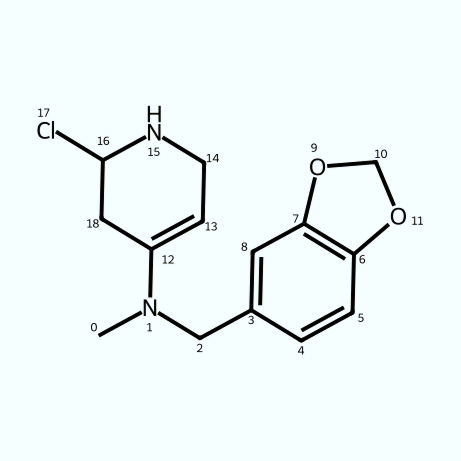 CN(Cc1ccc2c(c1)OCO2)C1=CCNC(Cl)C1